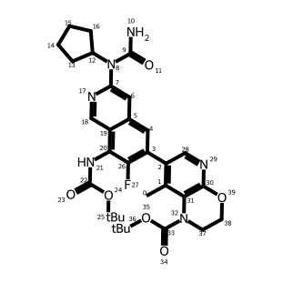 Cc1c(-c2cc3cc(N(C(N)=O)C4CCCC4)ncc3c(NC(=O)OC(C)(C)C)c2F)cnc2c1N(C(=O)OC(C)(C)C)CCO2